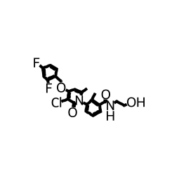 Cc1c(C(=O)NCCO)cccc1-n1c(C)cc(OCc2ccc(F)cc2F)c(Cl)c1=O